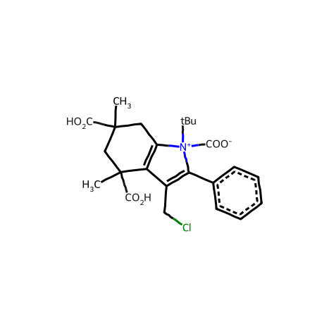 CC1(C(=O)O)CC2=C(C(CCl)=C(c3ccccc3)[N+]2(C(=O)[O-])C(C)(C)C)C(C)(C(=O)O)C1